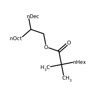 CCCCCCCCCCC(CCCCCCCC)COC(=O)C(C)(C)CCCCCC